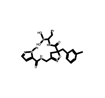 Cc1cccc(CC2(C(=O)NC(CC(C)C)B(O)O)CC(CNC(=O)c3ccnn3C(C)C)=NO2)c1